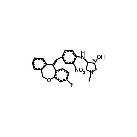 CN1CC(Nc2ccc(C=C3c4ccccc4COc4cc(F)ccc43)cc2[N+](=O)[O-])[C@@H](O)C1